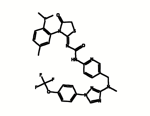 Cc1ccc(P(C)C)c(N2C(=O)CS/C2=N\C(=O)Nc2ccc(CN(C)c3ncn(-c4ccc(OC(F)(F)F)cc4)n3)cn2)c1